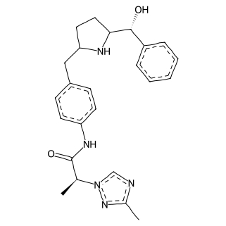 Cc1ncn([C@@H](C)C(=O)Nc2ccc(CC3CCC([C@H](O)c4ccccc4)N3)cc2)n1